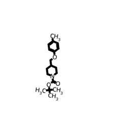 Cc1ccc(OCC2CCN(C(=O)OC(C)(C)C)CC2)cc1